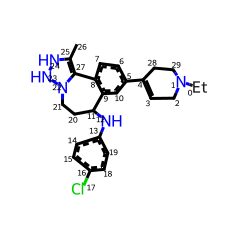 CCN1CC=C(c2ccc3c(c2)C(Nc2ccc(Cl)cc2)CCN2NNC(C)=C32)CC1